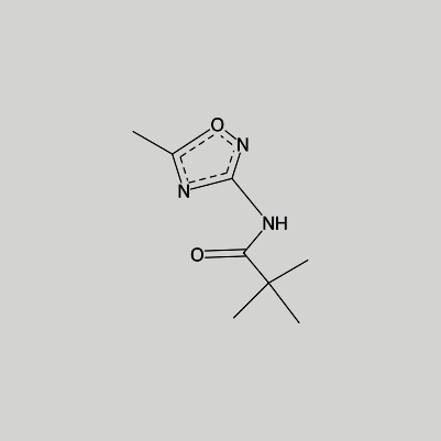 Cc1nc(NC(=O)C(C)(C)C)no1